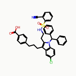 N#Cc1ccccc1S(=O)(=O)NCCc1c(CCCc2ccc(C(=O)O)cc2)c2cc(Cl)ccc2n1C(c1ccccc1)c1ccccc1